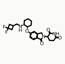 O=C1CCC(N2Cc3cc(O[C@@H]4CCCC[C@@H]4NCC4CC(F)(F)C4)ccc3C2=O)C(=O)N1